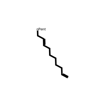 [CH]=CCCCCC/C=C/CCCCCC